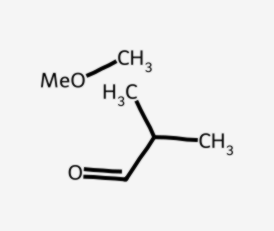 CC(C)C=O.COC